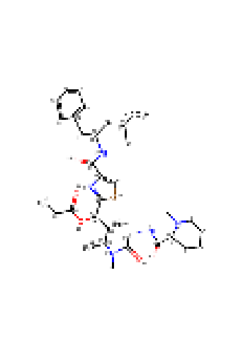 CC[C@H](C)[C@H](NC(=O)[C@H]1CCCCN1C)C(=O)N(C)[C@H](C[C@@H](OC(=O)CC(C)(C)C)c1nc(C(=O)N[C@@H](Cc2ccccc2)C[C@H](C)C(=O)O)cs1)C(C)C